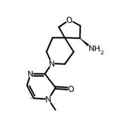 Cn1[c]cnc(N2CCC3(CC2)COC[C@H]3N)c1=O